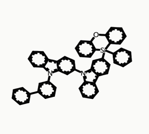 c1ccc(-c2cccc(-n3c4ccccc4c4ccc(-n5c6ccccc6c6ccc([Si]7(c8ccccc8)c8ccccc8Oc8ccccc87)cc65)cc43)c2)cc1